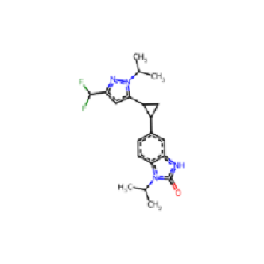 CC(C)n1nc(C(F)F)cc1C1CC1c1ccc2c(c1)[nH]c(=O)n2C(C)C